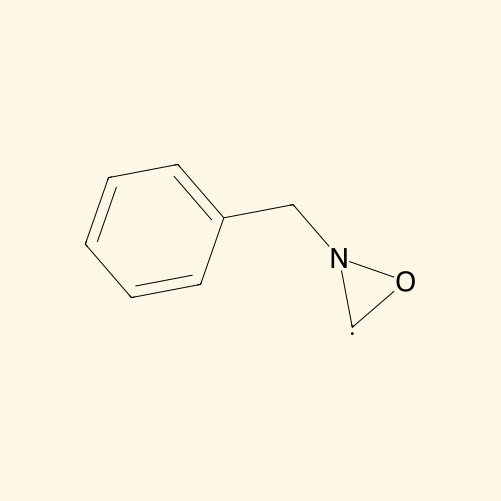 [CH]1ON1Cc1ccccc1